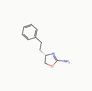 NC1=N[C@@H](CCc2c[c]ccc2)CO1